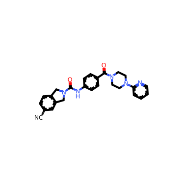 N#Cc1ccc2c(c1)CN(C(=O)Nc1ccc(C(=O)N3CCN(c4ccccn4)CC3)cc1)C2